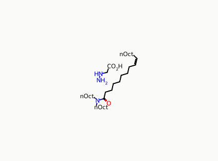 CCCCCCCC/C=C\CCCCCCCC(=O)N(CCCCCCCC)CCCCCCCC.NNCC(=O)O